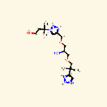 CC(C)(COCC(N)COCc1cn(C(C)(C)CCO)nn1)c1c[nH]nn1